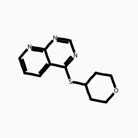 c1cnc2ncnc(SC3CCOCC3)c2c1